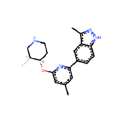 Cc1cc(O[C@H]2CCNC[C@H]2F)nc(-c2ccc3[nH]nc(C)c3c2)c1